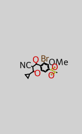 COc1c(S(C)(=O)=O)ccc(C(=O)C(C#N)C(=O)C2CC2)c1Br